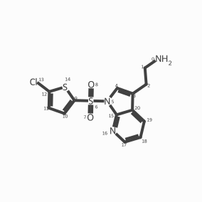 NCCc1cn(S(=O)(=O)c2ccc(Cl)s2)c2ncccc12